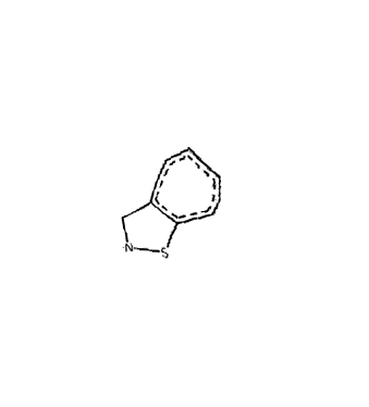 c1ccc2c(c1)C[N]S2